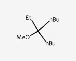 CCCCC(CC)(CCCC)OC